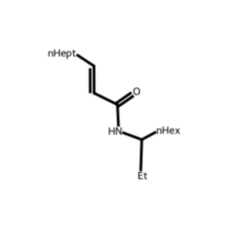 CCCCCCC/C=C/C(=O)NC(CC)CCCCCC